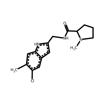 Cc1cc2[nH]c(CNC(=O)C3CCCN3C)cc2cc1Cl